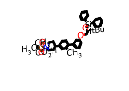 Cc1cc(C2CCN(S(=O)(=O)C(C)(C)C(=O)O)CC2)ccc1-c1cccc(OCC(O[SiH](c2ccccc2)c2ccccc2)C(C)(C)C)c1